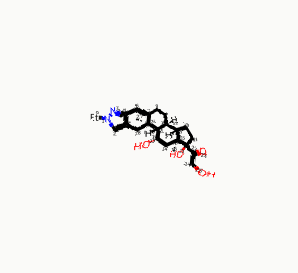 CCn1cc2c(n1)C=C1CC[C@@H]3[C@H]([C@@H](O)C[C@@]4(C)[C@H]3CC[C@]4(O)C(=O)CO)[C@@]1(C)C2